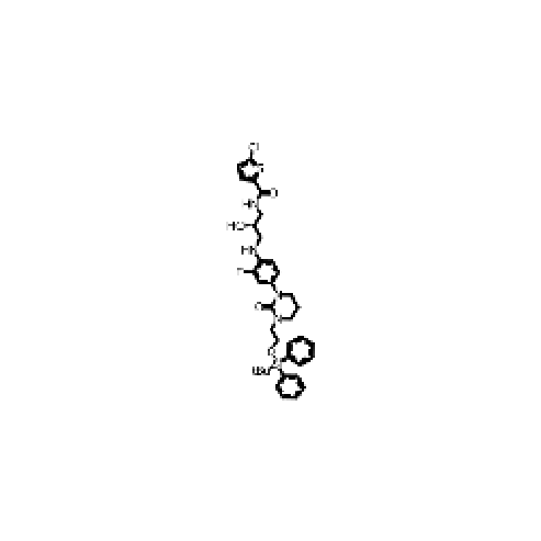 CC(C)(C)[Si](OCCN1CCCN(c2ccc(NC[C@@H](O)CNC(=O)c3ccc(Cl)s3)c(F)c2)C1=O)(c1ccccc1)c1ccccc1